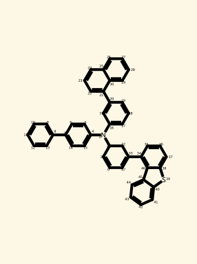 C1=CC(N(c2ccc(-c3ccccc3)cc2)c2cccc(-c3cccc4ccccc34)c2)CC(c2cccc3sc4ccccc4c23)=C1